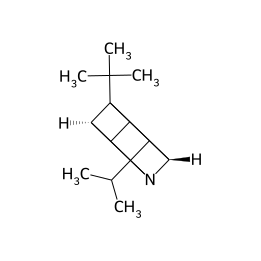 CC(C)C12C3C4C1[C@H]1N2[C@@H]3C41C(C)(C)C